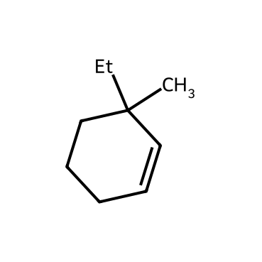 CCC1(C)C=CCCC1